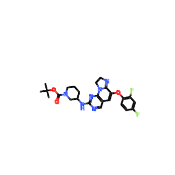 CC(C)(C)OC(=O)N1CCCC(Nc2ncc3c(n2)N2CCN=C2C(Oc2ccc(F)cc2F)=C3)C1